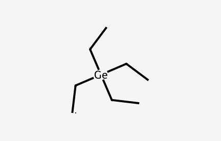 [CH2][CH2][Ge]([CH2]C)([CH2]C)[CH2]C